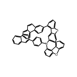 c1ccc2cc(-c3ccc(N(c4ccc5sc6cccc(-c7ccc8c(ccc9ccccc98)c7)c6c5c4)c4cccc5oc6ccccc6c45)cc3)ccc2c1